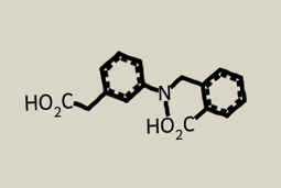 CN(Cc1ccccc1C(=O)O)c1cccc(CC(=O)O)c1